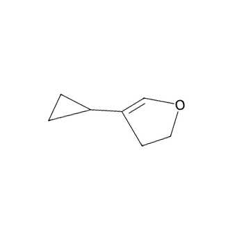 C1=C(C2CC2)CCO1